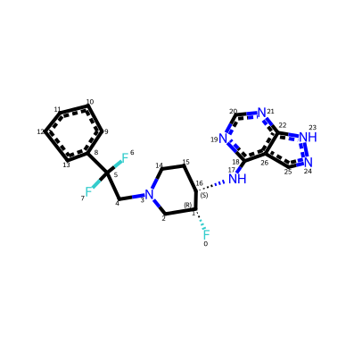 F[C@@H]1CN(CC(F)(F)c2ccccc2)CC[C@@H]1Nc1ncnc2[nH]ncc12